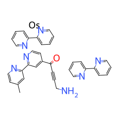 Cc1ccnc(-c2cc(C(=O)C#CCN)ccn2)c1.[Os].c1ccc(-c2ccccn2)nc1.c1ccc(-c2ccccn2)nc1